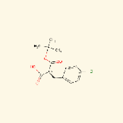 CC(C)(C)OC(=O)[C@@H](Cc1ccc(Cl)cc1)C(=O)O